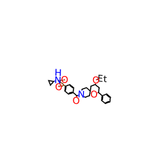 CCOC1CC(c2ccccc2)OC2(CCN(C(=O)c3ccc(S(=O)(=O)NC4CC4)cc3)CC2)C1